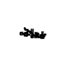 CC/C=C(/CCNC(=O)c1noc(Cc2ccc(F)c(F)c2)n1)c1cc(Cl)ccc1C